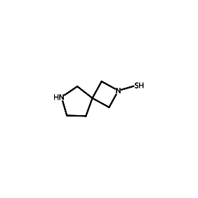 SN1CC2(CCNC2)C1